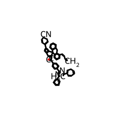 C=C/C=C\c1cccc2c1Cc1ccccc1C21c2cc(C3=CCC(C#N)C=C3)ccc2-c2ccc(-c3ccc(C(=N/Cc4ccccc4)/N=C(\C)C4=CCC#CC=C4)cc3)cc21